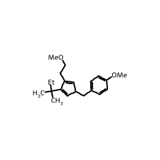 CCC(C)(C)C1=CC(Cc2ccc(OC)cc2)C=C1CCOC